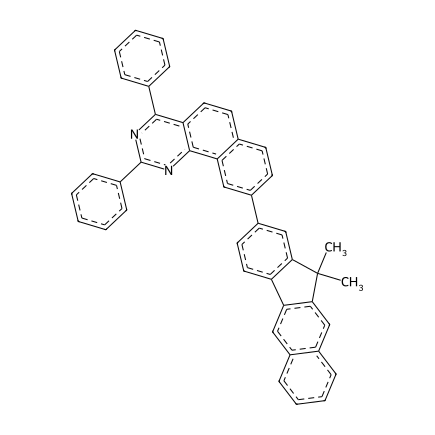 CC1(C)c2cc(-c3ccc4ccc5c(-c6ccccc6)nc(-c6ccccc6)nc5c4c3)ccc2-c2cc3ccccc3cc21